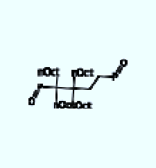 CCCCCCCCC(CCCCCCCC)(CCP=O)C(CCCCCCCC)(CCCCCCCC)P=O